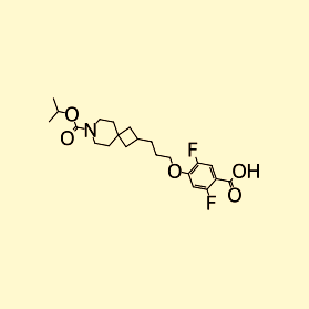 CC(C)OC(=O)N1CCC2(CC1)CC(CCCOc1cc(F)c(C(=O)O)cc1F)C2